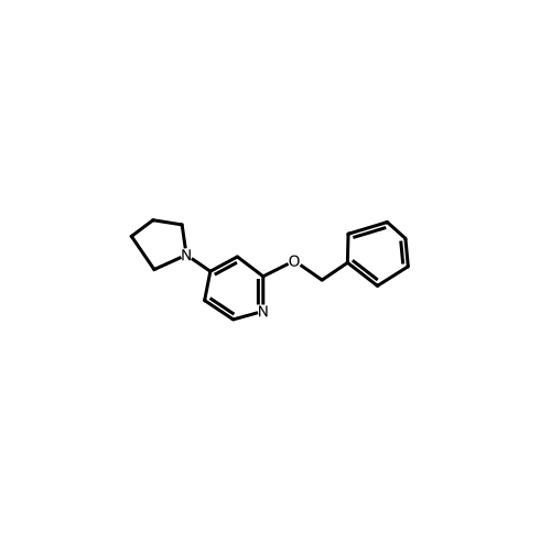 c1ccc(COc2cc(N3CCCC3)ccn2)cc1